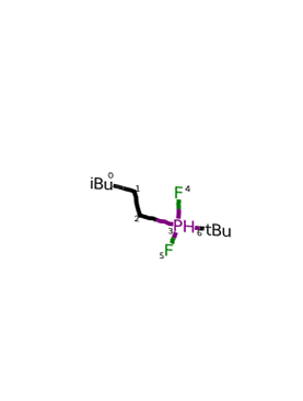 CCC(C)CC[PH](F)(F)C(C)(C)C